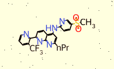 CCCc1cc(Nc2ccc(S(C)(=O)=O)cn2)c2ccc(-c3ncccc3C(F)(F)F)nc2n1